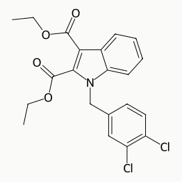 CCOC(=O)c1c(C(=O)OCC)n(Cc2ccc(Cl)c(Cl)c2)c2ccccc12